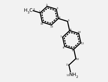 Cc1ccc(Cc2ccc(CCN)cc2)cc1